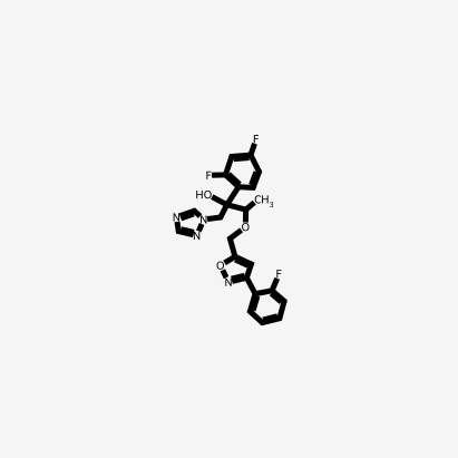 CC(OCc1cc(-c2ccccc2F)no1)C(O)(Cn1cncn1)c1ccc(F)cc1F